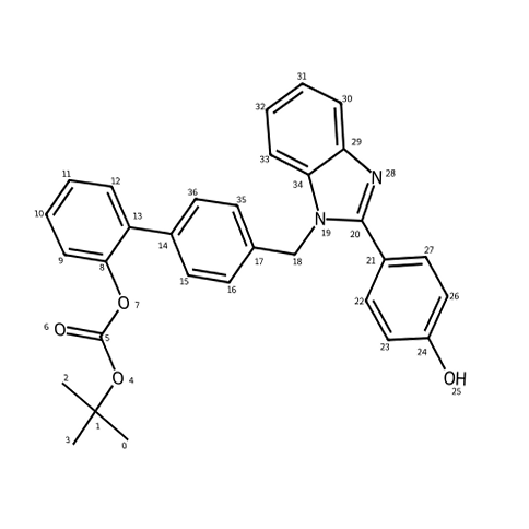 CC(C)(C)OC(=O)Oc1ccccc1-c1ccc(Cn2c(-c3ccc(O)cc3)nc3ccccc32)cc1